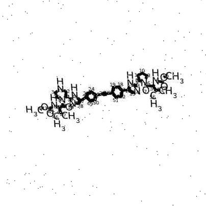 COC(=O)NC(C(=O)N1CCC[C@H]1c1ncc(-c2ccc(C#Cc3ccc(-c4cnc([C@@H]5CNCCN5C(=O)[C@@H](NC(=O)OC)C(C)C)[nH]4)cc3)cc2)[nH]1)C(C)C